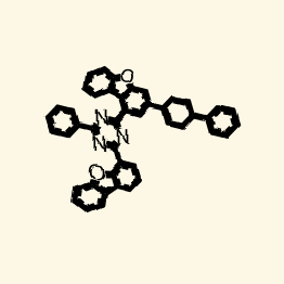 C1=CC(c2ccccc2)CC=C1c1cc(-c2nc(-c3ccccc3)nc(-c3cccc4c3oc3ccccc34)n2)c2c(c1)oc1ccccc12